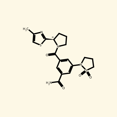 Cc1csc([C@H]2CCCN2C(=O)c2cc(C(N)=O)cc(N3CCCS3(=O)=O)c2)n1